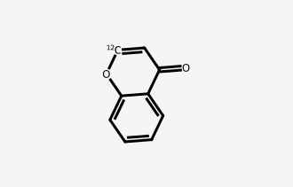 O=c1c[12cH]oc2ccccc12